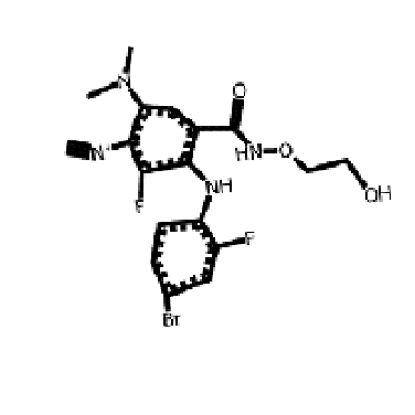 C#[N+]c1c(N(C)C)cc(C(=O)NOCCO)c(Nc2ccc(Br)cc2F)c1F